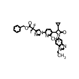 C=Cn1cnc2cc(N3C(=O)C(C4CC4)C3c3ccc(-n4cnc(C(F)(I)C(=O)OCc5ccccc5)c4)nc3C)ccc21